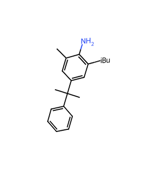 CCC(C)c1cc(C(C)(C)c2ccccc2)cc(C)c1N